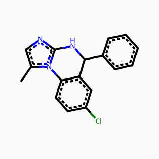 Cc1cnc2n1-c1ccc(Cl)cc1C(c1ccccc1)N2